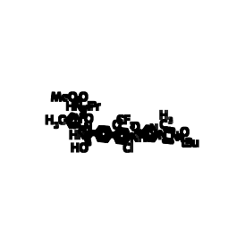 COC(=O)N[C@H](C(=O)N1C[C@@H](C)C[C@H]1c1nc(-c2ccc(-c3cc(Cl)c(NC(=O)c4ccc(N5CCN(C(=O)C(C)(C)C)C[C@H]5C)nc4)cc3OC(F)(F)F)cc2)c(CO)[nH]1)C(C)C